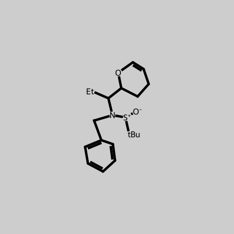 CCC(C1CCC=CO1)N(Cc1ccccc1)[S+]([O-])C(C)(C)C